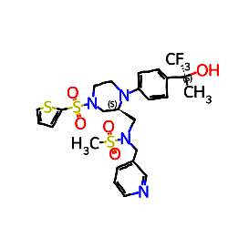 C[C@](O)(c1ccc(N2CCN(S(=O)(=O)c3cccs3)C[C@@H]2CN(Cc2cccnc2)S(C)(=O)=O)cc1)C(F)(F)F